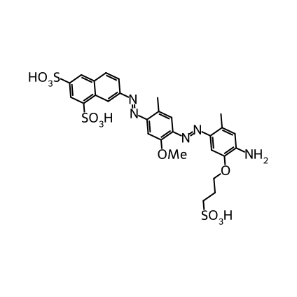 COc1cc(N=Nc2ccc3cc(S(=O)(=O)O)cc(S(=O)(=O)O)c3c2)c(C)cc1N=Nc1cc(OCCCS(=O)(=O)O)c(N)cc1C